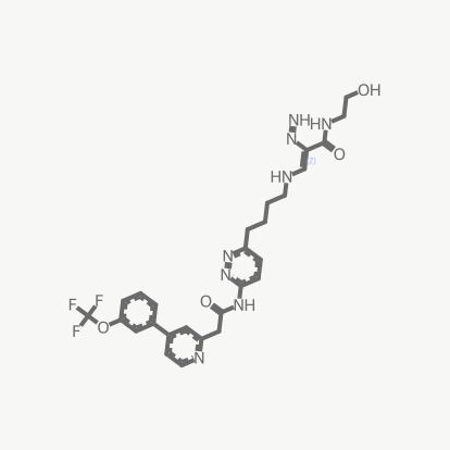 N=N/C(=C\NCCCCc1ccc(NC(=O)Cc2cc(-c3cccc(OC(F)(F)F)c3)ccn2)nn1)C(=O)NCCO